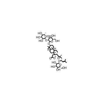 CC(C)=C[C@@H](C[C@]1(C)O[C@H]1[C@H]1CC[C@@H]2[C@@]3(C)CC[C@H](O[C@@H]4O[C@H](CO)[C@@H](O)[C@H](O)[C@H]4O[C@@H]4O[C@@H](C)[C@H](O)[C@@H](O)[C@H]4O)C(C)(C)[C@@H]3CC[C@@]2(C)[C@@]12COC(=O)C2)O[C@@H]1O[C@H](CO)[C@@H](O)[C@H](O)[C@H]1O